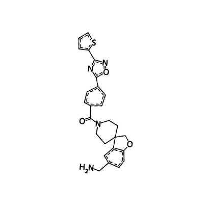 NCc1ccc2c(c1)C1(CCN(C(=O)c3ccc(-c4nc(-c5cccs5)no4)cc3)CC1)CO2